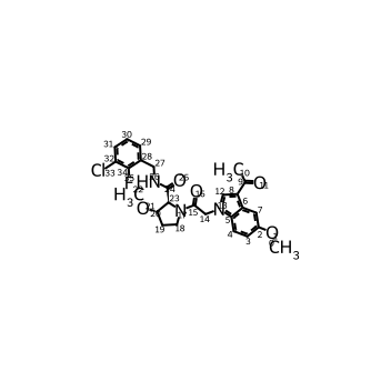 COc1ccc2c(c1)c(C(C)=O)cn2CC(=O)N1CC[C@@H](OC)[C@H]1C(=O)NCc1cccc(Cl)c1F